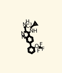 C[C@@H](Nc1c(C#N)nnc2cc(-c3ccccc3OC(F)(F)F)ccc12)C1CC1